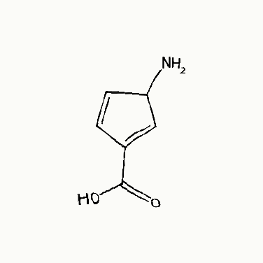 NC1C=CC(C(=O)O)=C1